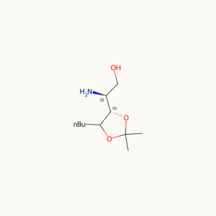 CCCCC1OC(C)(C)O[C@H]1[C@@H](N)CO